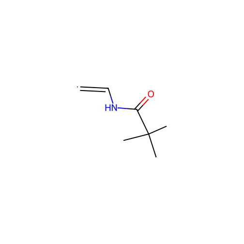 [CH]=CNC(=O)C(C)(C)C